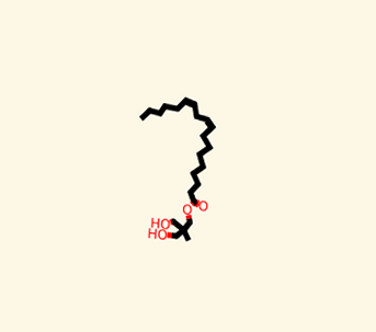 CCCCC/C=C\C/C=C\CCCCCCCC(=O)OCC(C)(CO)CO